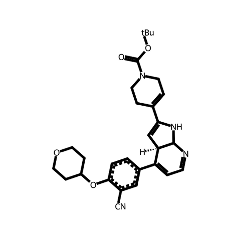 CC(C)(C)OC(=O)N1CC=C(C2=C[C@@H]3C(c4ccc(OC5CCOCC5)c(C#N)c4)=CC=NC3N2)CC1